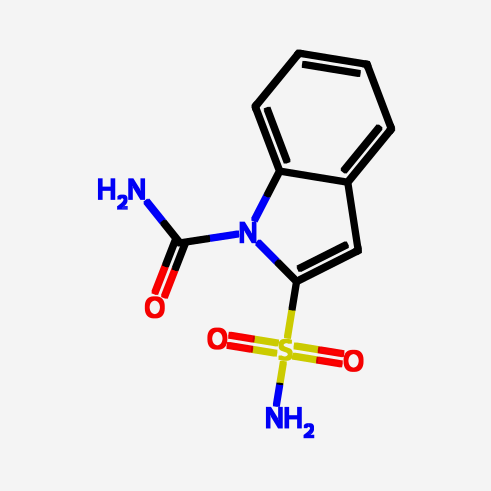 NC(=O)n1c(S(N)(=O)=O)cc2ccccc21